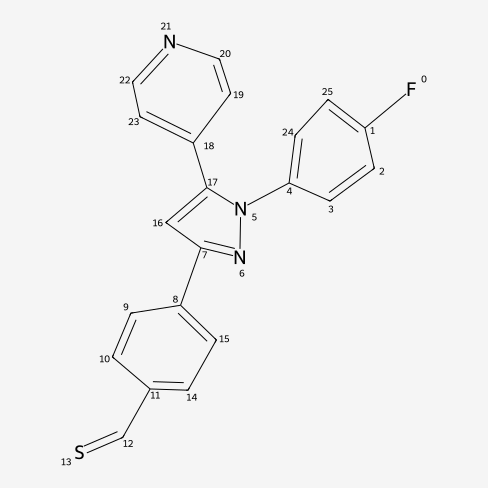 Fc1ccc(-n2nc(-c3ccc(C=S)cc3)cc2-c2ccncc2)cc1